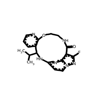 CC(C)C1Nc2ccn3nc(F)c(c3n2)C(=O)NCCOc2ncccc21